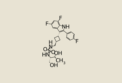 C[C@H](O)[C@H](CO)NS(=O)(=O)NC[C@H]1C[C@H](c2c(-c3ccc(F)cc3)[nH]c3c(F)cc(F)cc32)C1